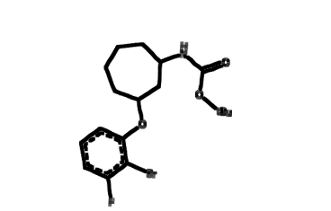 CC(C)(C)OC(=O)NC1CCCCC(Oc2cccc(F)c2Br)C1